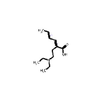 C/C=C/C=C(\CCN(CC)CC)C(=O)O